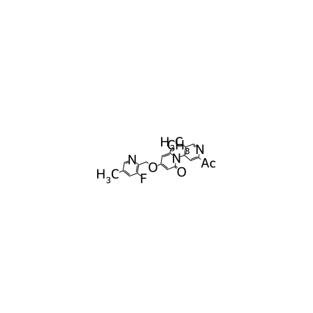 CC(=O)c1cc(-n2c(C)cc(OCc3ncc(C)cc3F)cc2=O)c(C)cn1